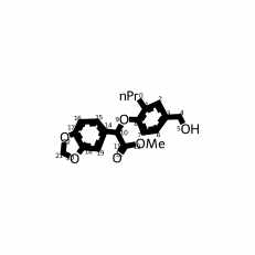 CCCc1cc(CO)ccc1OC(C(=O)OC)c1ccc2c(c1)OCO2